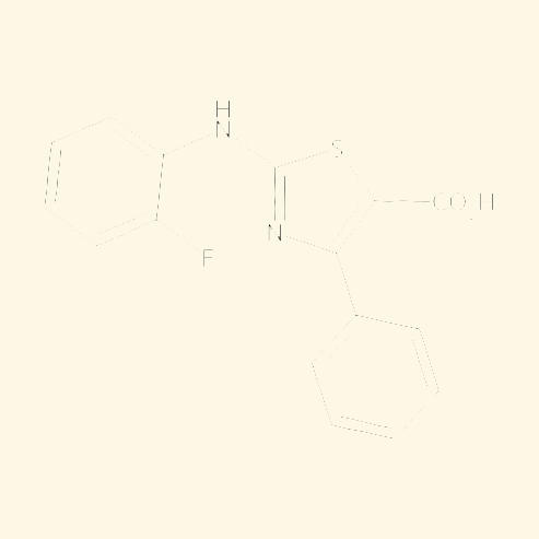 O=C(O)c1sc(Nc2ccccc2F)nc1-c1ccccc1